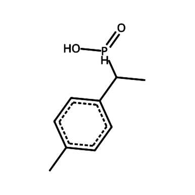 Cc1ccc(C(C)[PH](=O)O)cc1